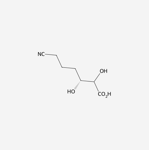 N#CCCC[C@@H](O)C(O)C(=O)O